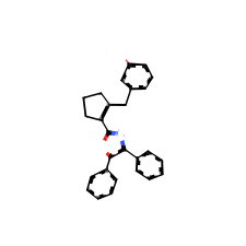 Oc1cccc(CC2=C(c3nc(-c4ccccc4)c(-c4ccccc4)o3)CCC2)c1